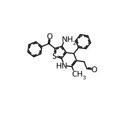 CC1=C(CC=O)C(c2ccccc2)c2c(sc(C(=O)c3ccccc3)c2N)N1